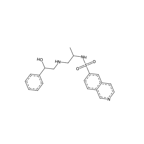 CC(CNCC(O)c1ccccc1)NS(=O)(=O)c1ccc2cnccc2c1